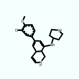 COc1ccc(C2=CC3C=CNCC3C(NC3CCNCC3)=C2)cc1Cl